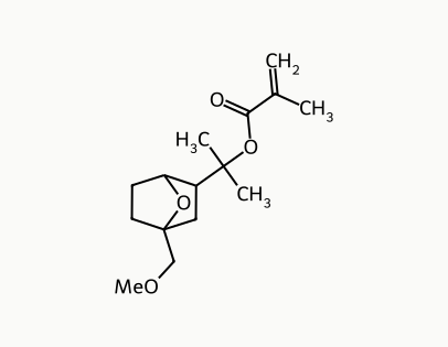 C=C(C)C(=O)OC(C)(C)C1CC2(COC)CCC1O2